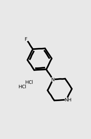 Cl.Cl.Fc1ccc(N2CCNCC2)cc1